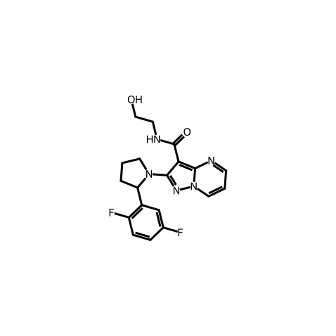 O=C(NCCO)c1c(N2CCCC2c2cc(F)ccc2F)nn2cccnc12